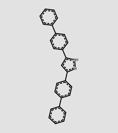 c1ccc(-c2ccc(-c3cc(-c4ccc(-c5ccccc5)cc4)[nH]n3)cc2)cc1